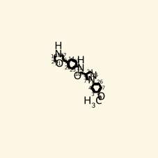 COc1ccc(-n2cc(C(=O)Nc3ccc(C4CNCCO4)cc3)cn2)cc1